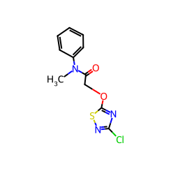 CN(C(=O)COc1nc(Cl)ns1)c1ccccc1